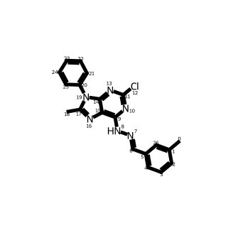 Cc1cccc(/C=N/Nc2nc(Cl)nc3c2nc(C)n3-c2ccccc2)c1